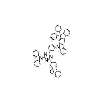 c1ccc(C2(c3ccccc3)c3ccccc3-c3cc4c5ccccc5n(-c5cccc(-c6nc(-c7ccc8c(c7)oc7ccccc78)nc(-n7c8ccccc8c8ccccc87)n6)c5)c4cc32)cc1